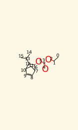 CCOC(=O)OC1C2C=CC(C2)C1C(C)C